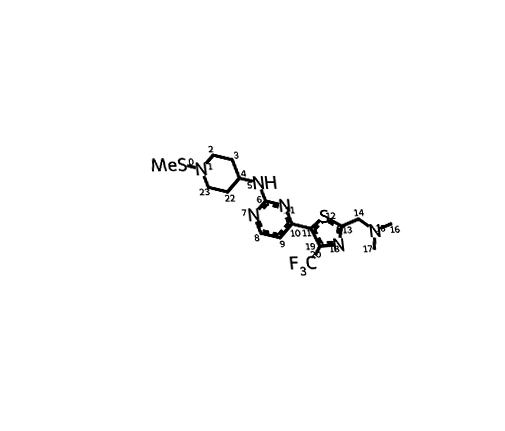 CSN1CCC(Nc2nccc(-c3sc(CN(C)C)nc3C(F)(F)F)n2)CC1